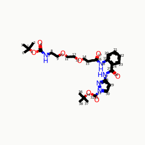 CC(C)(C)OC(=O)NCCOCCOCCC(=O)Nc1ccccc1C(=O)Nc1ccn(C(=O)OC(C)(C)C)n1